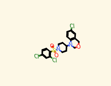 O=S(=O)(c1ccc(Cl)cc1Cl)N1CCC(N2COCc3cc(Cl)ccc32)CC1